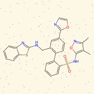 Cc1noc(NS(=O)(=O)c2ccccc2-c2ccc(-c3ncco3)cc2CNc2nc3ccccc3s2)c1C